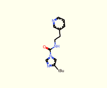 CC(C)(C)c1cn(C(=O)NCCc2cccnc2)cn1